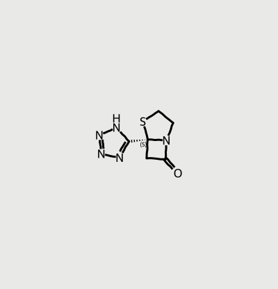 O=C1C[C@@]2(c3nnn[nH]3)SCCN12